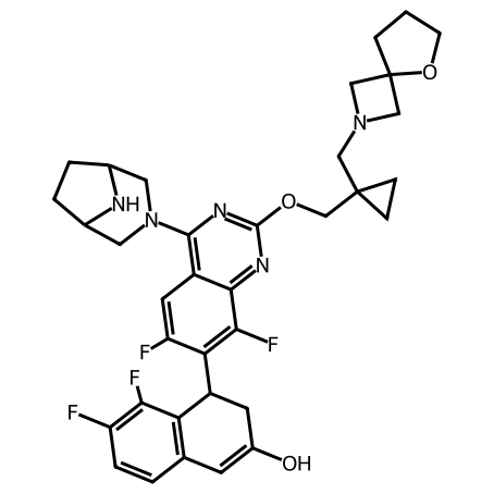 OC1=Cc2ccc(F)c(F)c2C(c2c(F)cc3c(N4CC5CCC(C4)N5)nc(OCC4(CN5CC6(CCCO6)C5)CC4)nc3c2F)C1